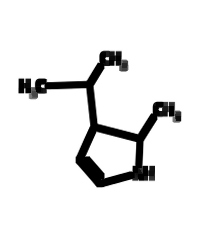 CC(C)C1C=CNC1C